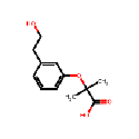 CC(C)(Oc1cccc(CCO)c1)C(=O)O